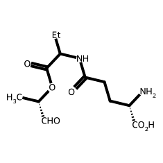 CCC(NC(=O)CC[C@H](N)C(=O)O)C(=O)O[C@@H](C)C=O